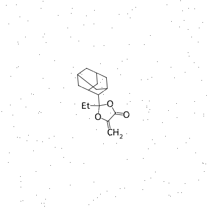 C=C1OC(CC)(C2C3CC4CC(C3)CC2C4)OC1=O